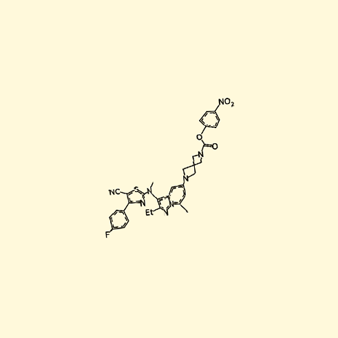 CCc1nn2c(C)cc(N3CC4(CN(C(=O)Oc5ccc([N+](=O)[O-])cc5)C4)C3)cc2c1N(C)c1nc(-c2ccc(F)cc2)c(C#N)s1